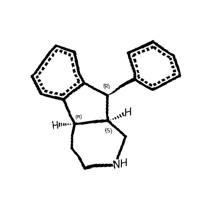 c1ccc([C@@H]2c3ccccc3[C@@H]3CCNC[C@H]23)cc1